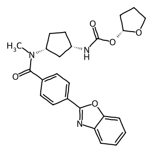 CN(C(=O)c1ccc(-c2nc3ccccc3o2)cc1)[C@@H]1CC[C@H](NC(=O)O[C@@H]2CCCO2)C1